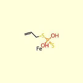 C=CCSP(O)(O)=S.[Fe]